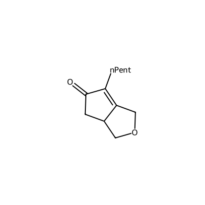 CCCCCC1=C2COCC2CC1=O